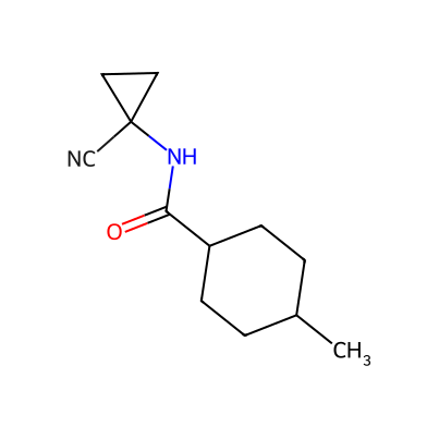 CC1CCC(C(=O)NC2(C#N)CC2)CC1